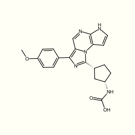 COc1ccc(-c2nc([C@@H]3CC[C@H](NC(=O)O)C3)n3c2cnc2[nH]ccc23)cc1